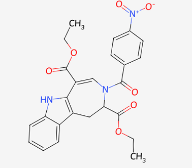 CCOC(=O)C1=CN(C(=O)c2ccc([N+](=O)[O-])cc2)C(C(=O)OCC)Cc2c1[nH]c1ccccc21